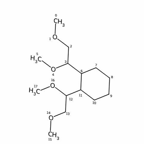 COCC(OC)C1CCCCC1C(COC)OC